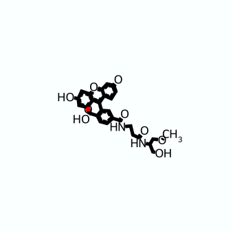 COCC(CO)NC(=O)CCNC(=O)c1ccc(C(=O)O)c(-c2c3ccc(=O)cc-3oc3cc(O)ccc23)c1